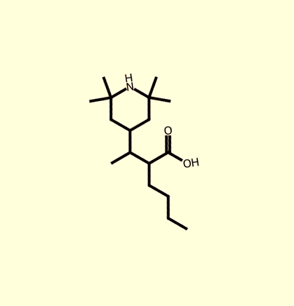 CCCCC(C(=O)O)C(C)C1CC(C)(C)NC(C)(C)C1